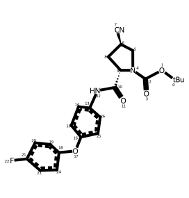 CC(C)(C)OC(=O)N1C[C@H](C#N)C[C@H]1C(=O)Nc1ccc(Oc2ccc(F)cc2)cc1